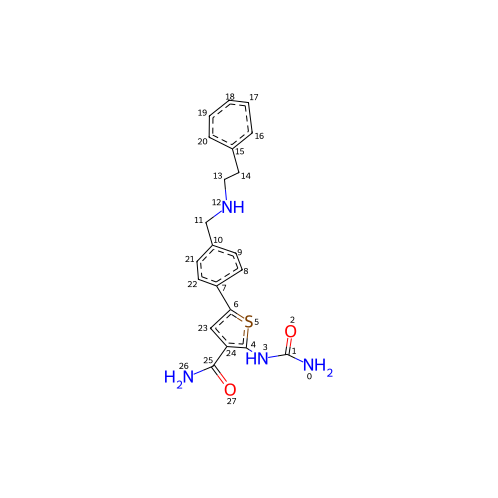 NC(=O)Nc1sc(-c2ccc(CNCCc3ccccc3)cc2)cc1C(N)=O